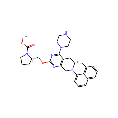 Cc1cccc2cccc(N3CCc4c(nc(OC[C@@H]5CCCN5C(=O)OC(C)(C)C)nc4N4CCNCC4)C3)c12